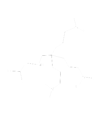 CCC(CC)O[SiH2]CC(CCCN(CC)CC)(CCCN(CC)CC)CCCN(CC)CC